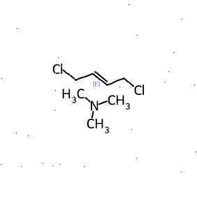 CN(C)C.ClC/C=C/CCl